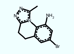 Cc1nnc2n1-c1c(N)cc(Br)cc1CC2